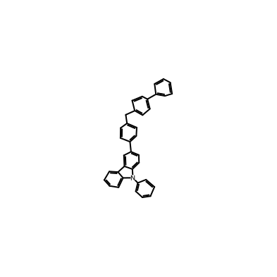 c1ccc(-c2ccc(Cc3ccc(-c4ccc5c(c4)c4ccccc4n5-c4ccccc4)cc3)cc2)cc1